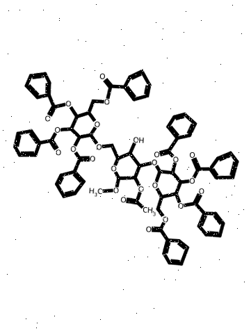 COC1OC(COC2OC(COC(=O)c3ccccc3)C(OC(=O)c3ccccc3)C(OC(=O)c3ccccc3)C2OC(=O)c2ccccc2)C(O)C(OC2OC(COC(=O)c3ccccc3)C(OC(=O)c3ccccc3)C(OC(=O)c3ccccc3)C2OC(=O)c2ccccc2)C1OC(C)=O